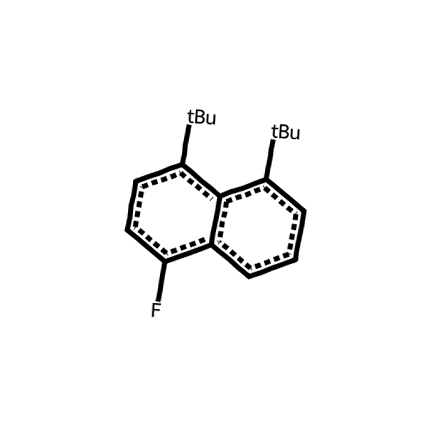 CC(C)(C)c1cccc2c(F)ccc(C(C)(C)C)c12